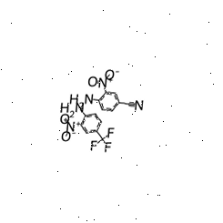 N#Cc1ccc(N)c([N+](=O)[O-])c1.Nc1ccc(C(F)(F)F)cc1[N+](=O)[O-]